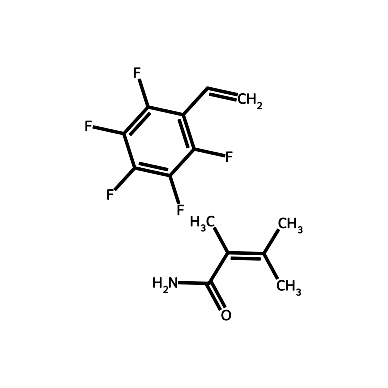 C=Cc1c(F)c(F)c(F)c(F)c1F.CC(C)=C(C)C(N)=O